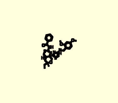 CC[C@]1(C)C[C@@H]2CSC(NC(=O)c3ccccc3)=N[C@]2(c2nc(NCc3ccc(OC)cc3OC)cs2)CO1